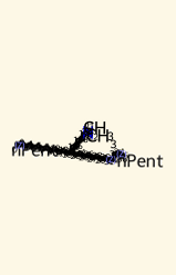 CCCCC/C=C\CC=CCCCCCCCCC(C=CCCCN(C)C)CCCCCCCC/C=C\C/C=C\CCCCC